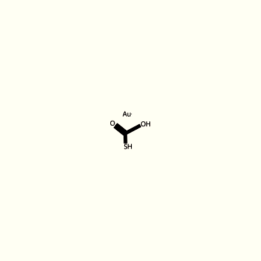 O=C(O)S.[Au]